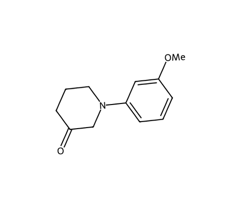 COc1cccc(N2CCCC(=O)C2)c1